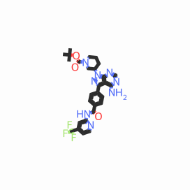 CC(C)(C)OC(=O)N1CCCC(n2nc(-c3ccc(C(=O)Nc4cc(C(F)(F)F)ccn4)cc3)c3c(N)ncnc32)C1